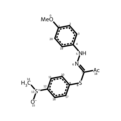 COc1ccc(N/N=C(/Sc2ccc([S+](C)[O-])cc2)C(C)=O)cc1